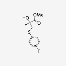 COC(=O)[C@@](C)(O)CSc1ccc(F)cc1